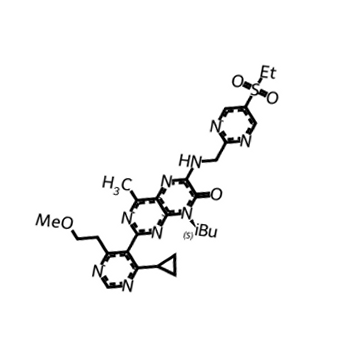 CC[C@H](C)n1c(=O)c(NCc2ncc(S(=O)(=O)CC)cn2)nc2c(C)nc(-c3c(CCOC)ncnc3C3CC3)nc21